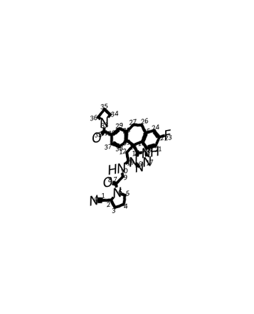 N#CC1CCCN1C(=O)CNCCC1(c2nnn[nH]2)c2ccc(F)cc2CCc2cc(C(=O)N3CCC3)ccc21